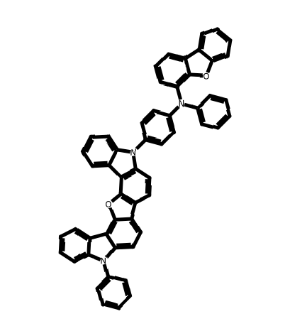 c1ccc(N(c2ccc(-n3c4ccccc4c4c5oc6c(ccc7c6c6ccccc6n7-c6ccccc6)c5ccc43)cc2)c2cccc3c2oc2ccccc23)cc1